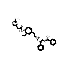 CCC1C=C(CCNC[C@H](CO[C@H](O)c2ccccc2)c2ccccc2)C=CC[C@@H]1NC(=O)Cc1csc(N)n1